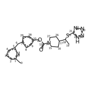 Cc1cccc(Cc2ccc(OC(=O)N3CCC(C(C)Sc4nnn[nH]4)CC3)cc2)n1